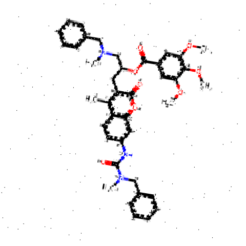 COc1cc(C(=O)OC(Cc2c(C)c3ccc(NC(=O)N(C)Cc4ccccc4)cc3oc2=O)CN(C)Cc2ccccc2)cc(OC)c1OC